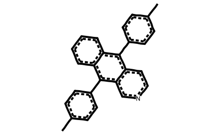 Cc1ccc(-c2c3ccccc3c(-c3ccc(C)cc3)c3cnccc23)cc1